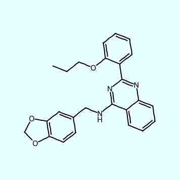 CCCOc1ccccc1-c1nc(NCc2ccc3c(c2)OCO3)c2ccccc2n1